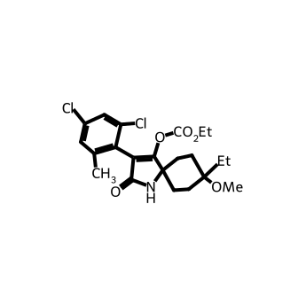 CCOC(=O)OC1=C(c2c(C)cc(Cl)cc2Cl)C(=O)NC12CCC(CC)(OC)CC2